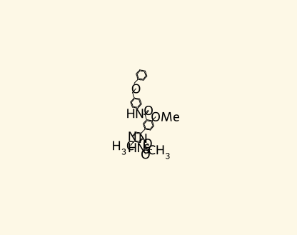 COc1ccc(-c2cnc(C)c(NS(C)(=O)=O)n2)cc1C(=O)Nc1ccc(COCc2ccccc2)cc1